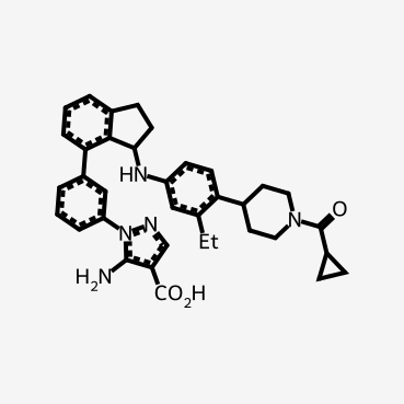 CCc1cc(NC2CCc3cccc(-c4cccc(-n5ncc(C(=O)O)c5N)c4)c32)ccc1C1CCN(C(=O)C2CC2)CC1